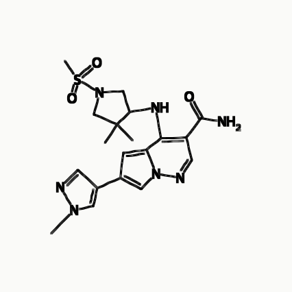 Cn1cc(-c2cc3c(NC4CN(S(C)(=O)=O)CC4(C)C)c(C(N)=O)cnn3c2)cn1